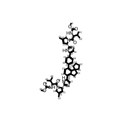 COC(=O)N[C@H](C(=O)N1CC(C)=C[C@H]1c1ncc(-c2ccc(-c3ccc(-c4cnc([C@@H]5C=C(C)CN5C(=O)[C@@H](NC(=O)OC)C(C)C)[nH]4)c4c3C3(CCCC3)CC4)cc2)[nH]1)C(C)C